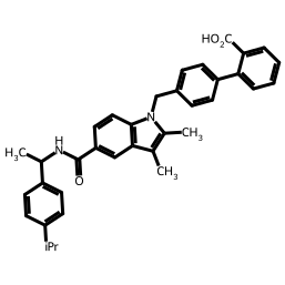 Cc1c(C)n(Cc2ccc(-c3ccccc3C(=O)O)cc2)c2ccc(C(=O)NC(C)c3ccc(C(C)C)cc3)cc12